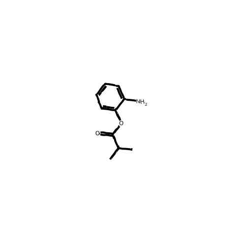 CC(C)C(=O)Oc1ccccc1N